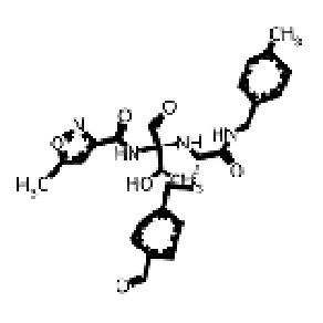 Cc1ccc(CNC(=O)[C@H](CCc2ccc(C=O)cc2)N[C@](C=O)(NC(=O)c2cc(C)on2)[C@@H](C)O)cc1